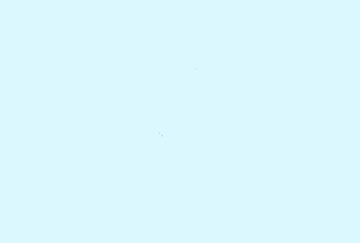 [CH2]CC1CCN(CCCO)CC1